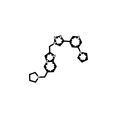 c1ccn(-c2cncc(-c3cn(Cc4cn5cc(CN6CCCC6)ccc5n4)nn3)c2)c1